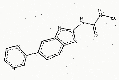 CCNC(=O)Nc1nc2cc(-c3cccnc3)ccc2s1